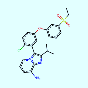 CCS(=O)(=O)c1cccc(Oc2ccc(Cl)c(-c3c(C(C)C)nc4c(N)cccn34)c2)c1